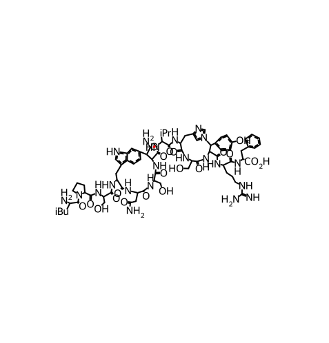 CCC(C)C(N)C(=O)N1CCCC1C(=O)NC(CO)C(=O)NC1Cc2c[nH]c3cc(ccc23)C(C(N)=O)C(C(=O)NC(C(=O)NC2Cc3cn(cn3)C(c3ccc(O)cc3)C(C(=O)NC(CCCNC(=N)N)C(=O)NC(Cc3ccccc3)C(=O)O)NC(=O)C(CO)NC2=O)C(C)C)NC(=O)C(CO)NC(=O)C(CC(N)=O)NC1=O